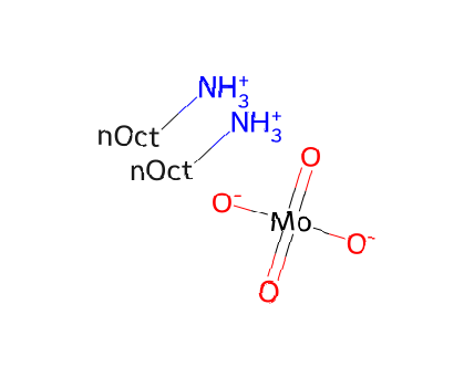 CCCCCCCC[NH3+].CCCCCCCC[NH3+].[O]=[Mo](=[O])([O-])[O-]